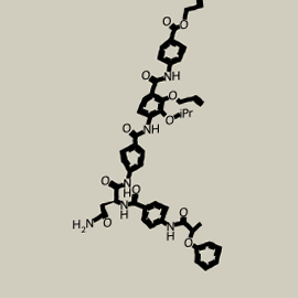 C=CCOC(=O)c1ccc(NC(=O)c2ccc(NC(=O)c3ccc(NC(=O)[C@H](CC(N)=O)NC(=O)c4ccc(NC(=O)C(C)Oc5ccccc5)cc4)cc3)c(OC(C)C)c2OCC=C)cc1